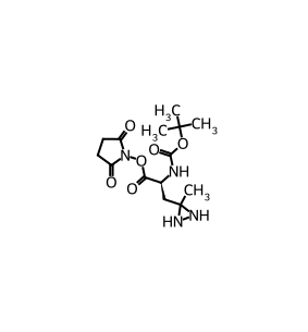 CC1(C[C@H](NC(=O)OC(C)(C)C)C(=O)ON2C(=O)CCC2=O)NN1